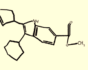 COC(=O)c1ccc2c(C3CCCCC3)c(C3C=COC3)[nH]c2c1